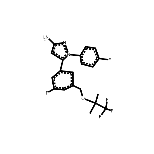 CC(C)(OCc1cc(F)cc(-c2cc(N)nn2-c2ccc(F)cc2)c1)C(F)(F)F